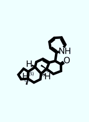 C[C@@]12CCC[C@H]1[C@@H]1CC=C3C(C4=CC=CC=CN4)C(=O)CC[C@]3(C)[C@H]1CC2